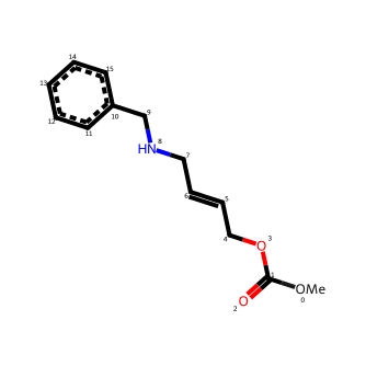 COC(=O)OC/C=C/CNCc1ccccc1